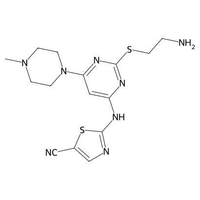 CN1CCN(c2cc(Nc3ncc(C#N)s3)nc(SCCN)n2)CC1